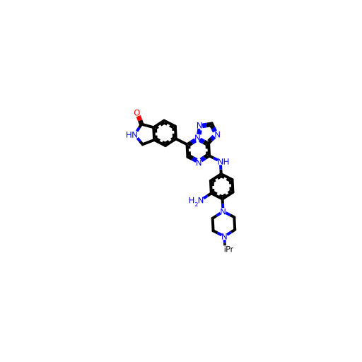 CC(C)N1CCN(c2ccc(Nc3ncc(-c4ccc5c(c4)CNC5=O)n4ncnc34)cc2N)CC1